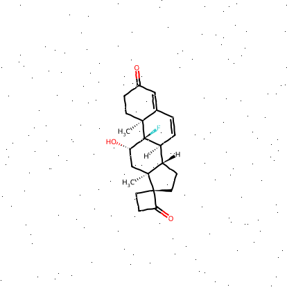 C[C@]12CCC(=O)C=C1C=C[C@H]1[C@@H]3CC[C@@]4(CCC4=O)[C@@]3(C)C[C@H](O)[C@@]12F